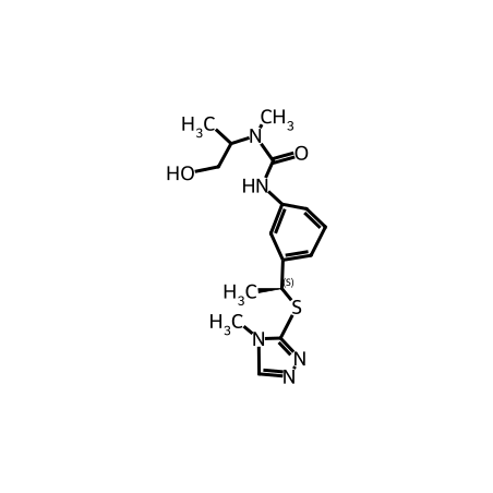 CC(CO)N(C)C(=O)Nc1cccc([C@H](C)Sc2nncn2C)c1